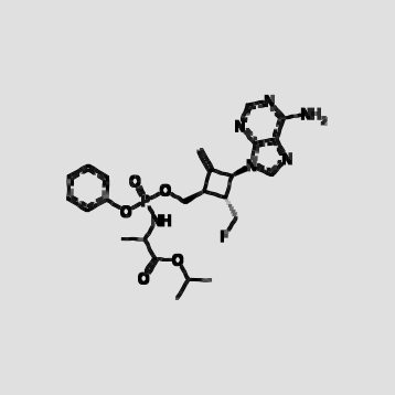 C=C1[C@@H](n2cnc3c(N)ncnc32)[C@H](CF)[C@H]1COP(=O)(NC(C)C(=O)OC(C)C)Oc1ccccc1